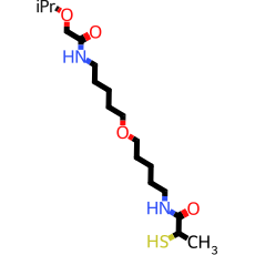 CC(C)OCC(=O)NCCCCCOCCCCCNC(=O)C(C)S